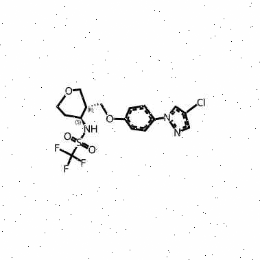 O=S(=O)(N[C@H]1CCOC[C@@H]1COc1ccc(-n2cc(Cl)cn2)cc1)C(F)(F)F